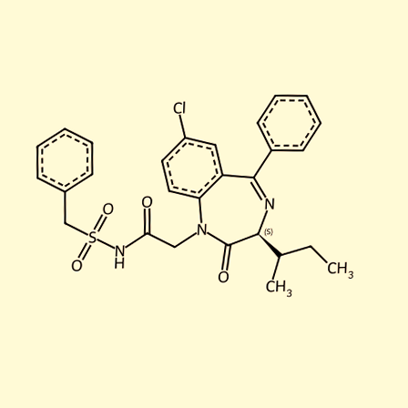 CCC(C)[C@@H]1N=C(c2ccccc2)c2cc(Cl)ccc2N(CC(=O)NS(=O)(=O)Cc2ccccc2)C1=O